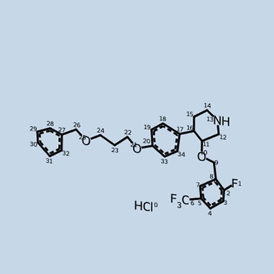 Cl.Fc1ccc(C(F)(F)F)cc1COC1CNCCC1c1ccc(OCCCOCc2ccccc2)cc1